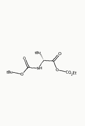 CCOC(=O)OC(=O)[C@H](NC(=O)OC(C)(C)C)C(C)(C)C